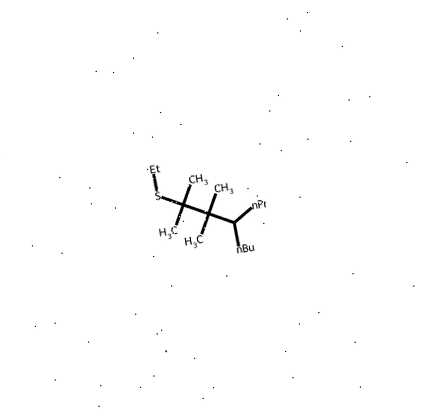 CCCCC(CCC)C(C)(C)C(C)(C)SCC